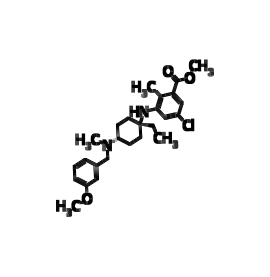 CC[C@]1(Nc2cc(Cl)cc(C(=O)OC)c2C)CC[C@@H](N(C)Cc2cccc(OC)c2)CC1